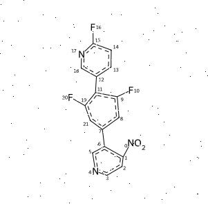 O=[N+]([O-])c1ccncc1-c1cc(F)c(-c2ccc(F)nc2)c(F)c1